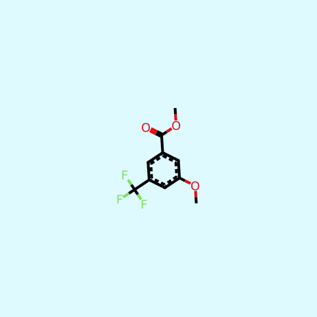 COC(=O)c1cc(OC)cc(C(F)(F)F)c1